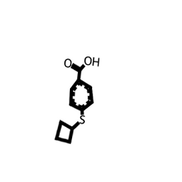 O=C(O)c1ccc(SC2CCC2)cc1